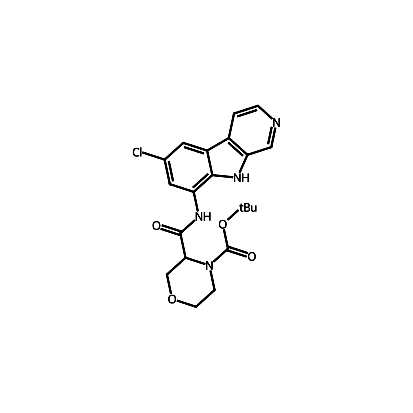 CC(C)(C)OC(=O)N1CCOCC1C(=O)Nc1cc(Cl)cc2c1[nH]c1cnccc12